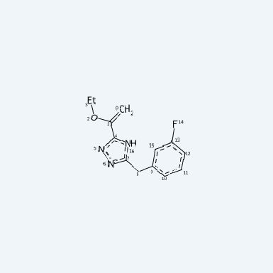 C=C(OCC)c1nnc(Cc2cccc(F)c2)[nH]1